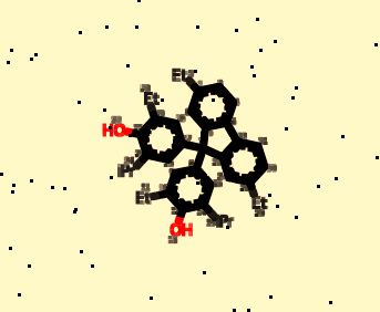 CCc1ccc2c(c1)C(c1cc(CC)c(O)c(C(C)C)c1)(c1cc(CC)c(O)c(C(C)C)c1)c1cc(CC)ccc1-2